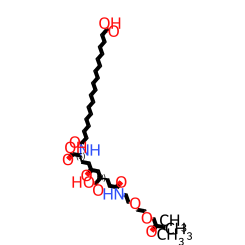 CC(C)(C)C(=O)COCCOCCNC(=O)CC[C@H](CC(=O)CC[C@H](NC(=O)CCCCCCCCCCCCCCCCCCC(=O)O)C(=O)O)C(=O)O